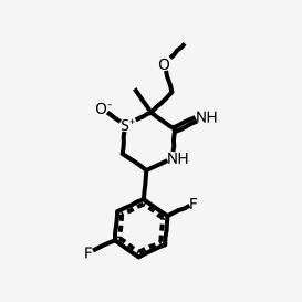 COCC1(C)C(=N)NC(c2cc(F)ccc2F)C[S+]1[O-]